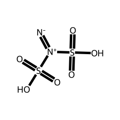 [N-]=[N+](S(=O)(=O)O)S(=O)(=O)O